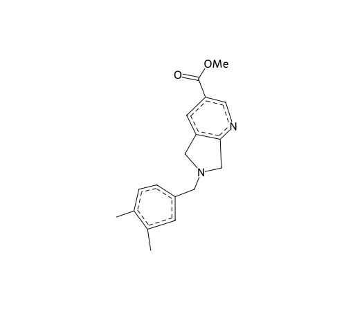 COC(=O)c1cnc2c(c1)CN(Cc1ccc(C)c(C)c1)C2